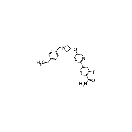 CCc1ccc(CN2CC(Oc3ccc(-c4ccc(C(N)=O)c(F)c4)nc3)C2)cc1